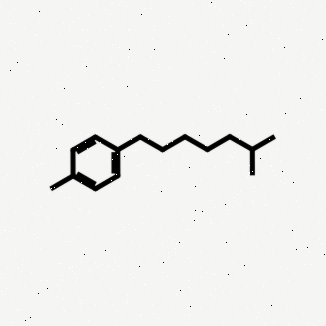 Cc1ccc(CCCCCC(C)C)cc1